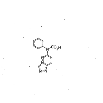 O=C(O)N(c1ccccc1)c1ccc2nncn2n1